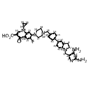 Nc1ncc(CN2CCc3cc(-c4ccc(CN5CCN(c6cc7c(cc6F)c(=O)c(C(=O)O)cn7C6CC6)CC5)cc4)ccc32)c(N)n1